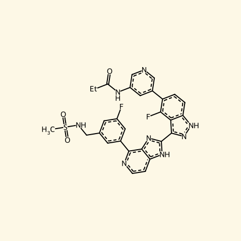 CCC(=O)Nc1cncc(-c2ccc3[nH]nc(-c4nc5c(-c6cc(F)cc(CNS(C)(=O)=O)c6)nccc5[nH]4)c3c2F)c1